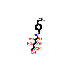 C=Cc1ccc(CNC(=O)[C@@H](O)[C@@H](O)[C@H](O)[C@@H](O)CO)cc1